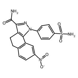 NC(=O)c1nn(-c2ccc(S(N)(=O)=O)cc2)c2c1CCc1ccc([N+](=O)[O-])cc1-2